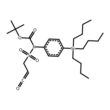 CCC[CH2][Sn]([CH2]CCC)([CH2]CCC)[c]1ccc(N(C(=O)OC(C)(C)C)S(=O)(=O)CC=C=O)cc1